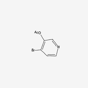 CC(=O)Oc1cnccc1Br